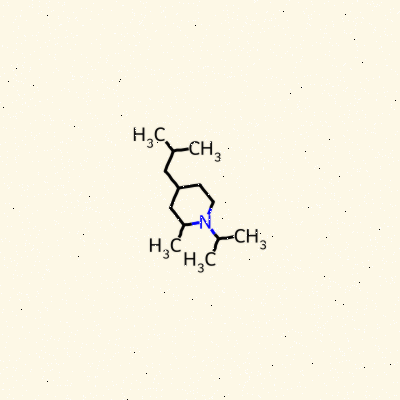 CC(C)CC1CCN(C(C)C)C(C)C1